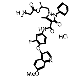 COc1ccc2c(Oc3ccc(NC(=O)c4c(C)n(C[C@H](C)OC(=O)CN)n(-c5ccccc5)c4=O)cc3F)ccnc2c1.Cl